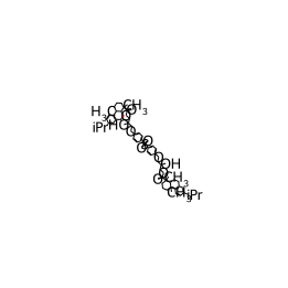 CC(C)c1ccc2c(c1)CCC1C(C)(C(=O)OCC(O)COc3ccc(S(=O)(=O)c4ccc(OCC(O)COC(=O)C5(C)CCCC6(C)c7ccc(C(C)C)cc7CCC56)cc4)cc3)CCCC21C